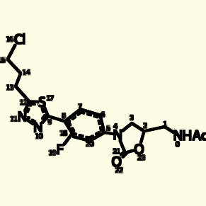 CC(=O)NCC1CN(c2ccc(-c3nnc(CCCCl)s3)c(F)c2)C(=O)O1